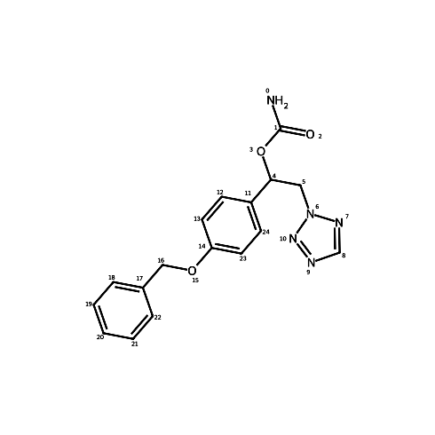 NC(=O)OC(Cn1ncnn1)c1ccc(OCc2ccccc2)cc1